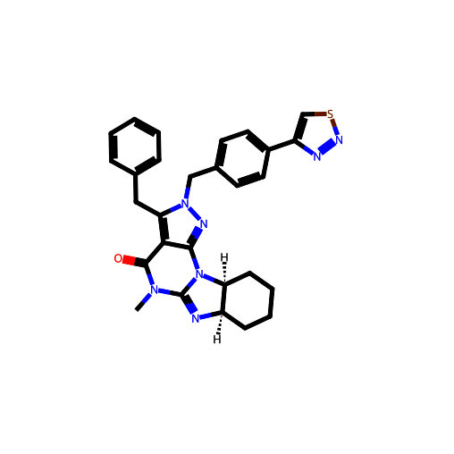 CN1C(=O)c2c(nn(Cc3ccc(-c4csnn4)cc3)c2Cc2ccccc2)N2C1=N[C@@H]1CCCC[C@@H]12